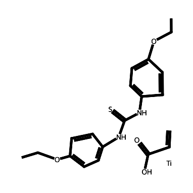 C=CC(=O)O.CCOc1ccc(NC(=S)Nc2ccc(OCC)cc2)cc1.[Ti]